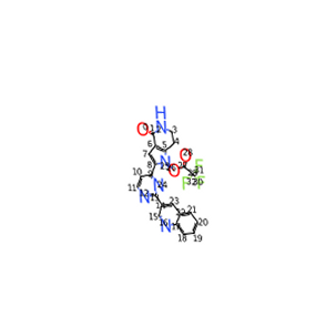 O=C1NCCc2c1cc(-c1ccnc(-c3cnc4ccccc4c3)n1)n2OC(=O)C(F)(F)F